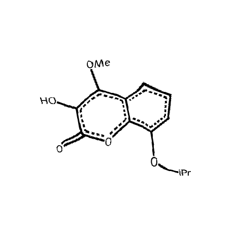 COc1c(O)c(=O)oc2c(OC(C)C)cccc12